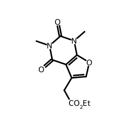 CCOC(=O)Cc1coc2c1c(=O)n(C)c(=O)n2C